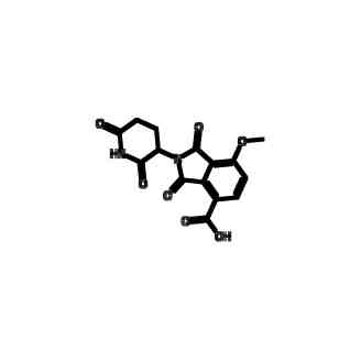 COc1ccc(C(=O)O)c2c1C(=O)N(C1CCC(=O)NC1=O)C2=O